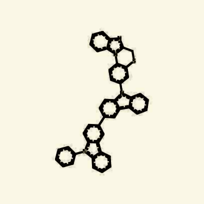 c1ccc(-n2c3ccccc3c3cc(-c4ccc5c(c4)c4ccccc4n5-c4ccc5c(c4)SCc4nc6ccccc6n4-5)ccc32)cc1